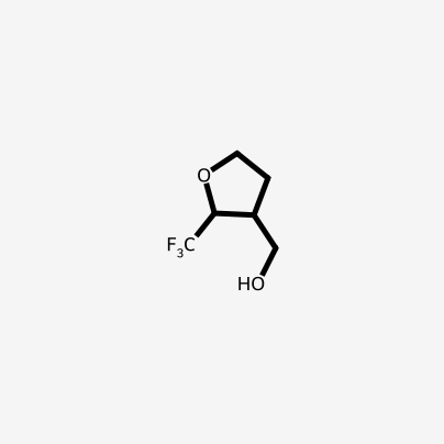 OCC1CCOC1C(F)(F)F